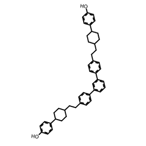 Oc1ccc(C2CCC(CCc3ccc(-c4cccc(-c5ccc(CCC6CCC(c7ccc(O)cc7)CC6)cc5)c4)cc3)CC2)cc1